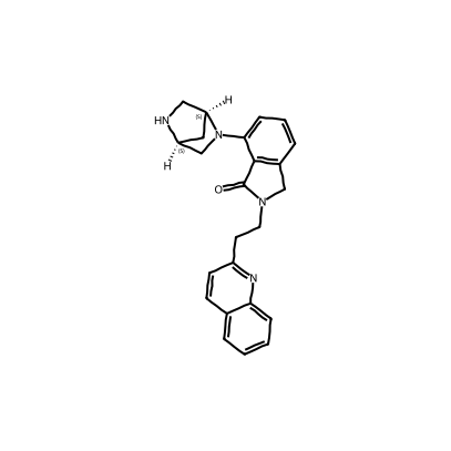 O=C1c2c(cccc2N2C[C@@H]3C[C@H]2CN3)CN1CCc1ccc2ccccc2n1